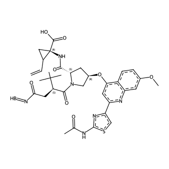 B=NC(=O)C[C@H](C(=O)N1C[C@H](Oc2cc(-c3csc(NC(C)=O)n3)nc3cc(OC)ccc23)C[C@H]1C(=O)N[C@]1(C(=O)O)CC1C=C)C(C)(C)C